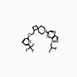 FC(F)Cn1ncc2ncc(N3CCC4(CCC4COc4cccc(C(F)(F)F)n4)CC3)nc21